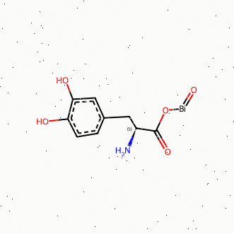 N[C@@H](Cc1ccc(O)c(O)c1)C(=O)[O][Bi]=[O]